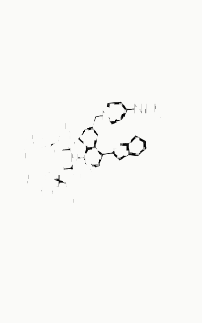 CC(C)(C)OC(=O)N(C(=O)OC(C)(C)C)c1ncc(-c2cc3ccccc3o2)c2cc(C[n+]3ccc(N)cc3)ccc12